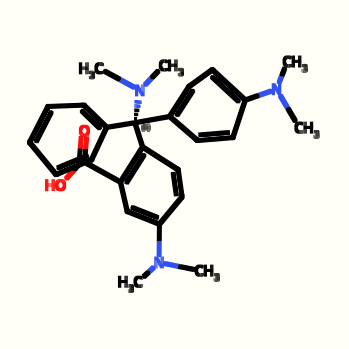 CN(C)c1ccc([C@](c2ccccc2)(c2ccc(N(C)C)cc2C(=O)O)N(C)C)cc1